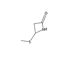 CSC1CC(=O)N1